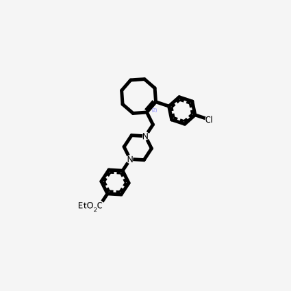 CCOC(=O)c1ccc(N2CCN(C/C3=C(\c4ccc(Cl)cc4)CCCCCC3)CC2)cc1